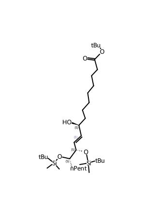 CCCCC[C@H](O[Si](C)(C)C(C)(C)C)[C@H](/C=C/[C@@H](O)CCCCCCCC(=O)OC(C)(C)C)O[Si](C)(C)C(C)(C)C